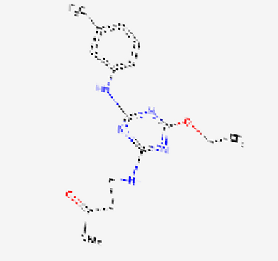 CNC(=O)CCNc1nc(Nc2cccc(C(F)(F)F)c2)nc(OCC(F)(F)F)n1